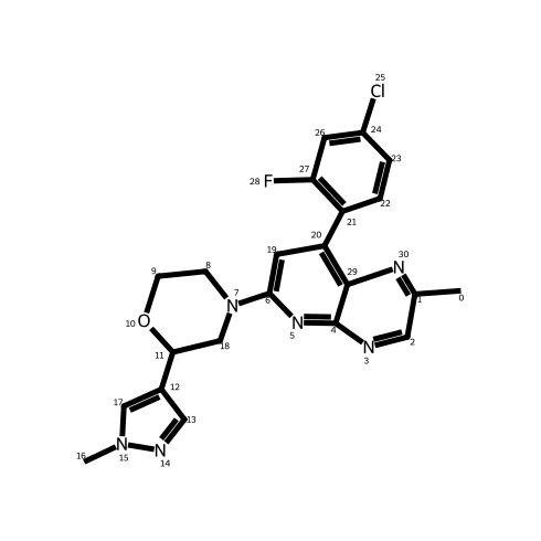 Cc1cnc2nc(N3CCOC(c4cnn(C)c4)C3)cc(-c3ccc(Cl)cc3F)c2n1